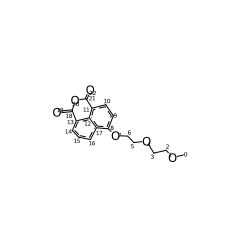 COCCOCCOc1ccc2c3c(cccc13)C(=O)OC2=O